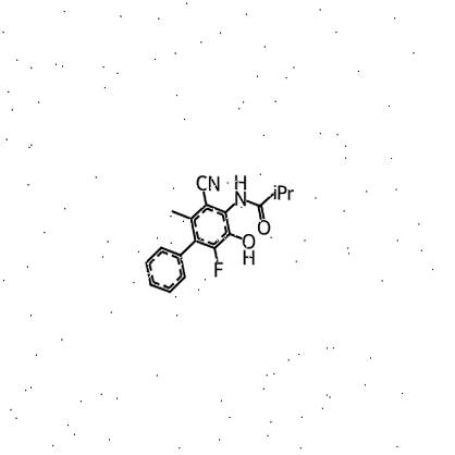 Cc1c(C#N)c(NC(=O)C(C)C)c(O)c(F)c1-c1ccccc1